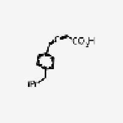 CC(C)Cc1ccc(C=C=CC(=O)O)cc1